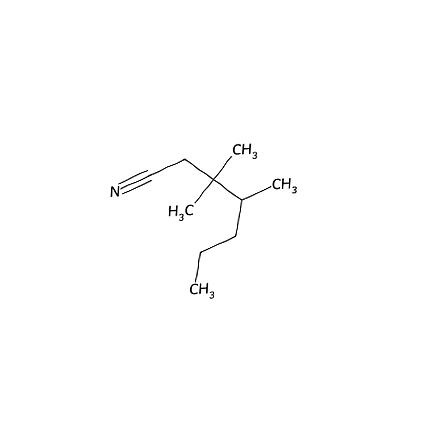 CCCC(C)C(C)(C)CC#N